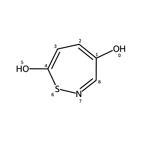 OC1=CC=C(O)SN=C1